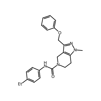 CCc1ccc(NC(=O)N2CCc3c(c(COc4ccccc4)nn3C)C2)cc1